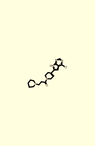 O=C(CCN1CCCCC1)N1CC=C(c2cc3c(Cl)ncnc3[nH]2)CC1